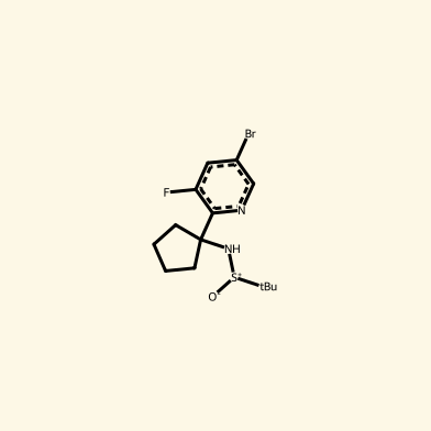 CC(C)(C)[S+]([O-])NC1(c2ncc(Br)cc2F)CCCC1